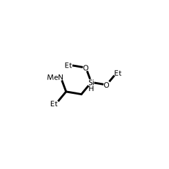 CCO[SiH](CC(CC)NC)OCC